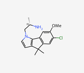 COc1cc2c(cc1Cl)C(C)(C)c1ccn(C[C@H](C)N)c1-2